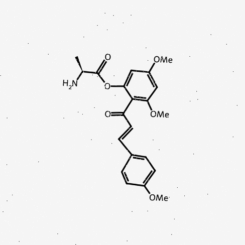 COc1ccc(C=CC(=O)c2c(OC)cc(OC)cc2OC(=O)[C@H](C)N)cc1